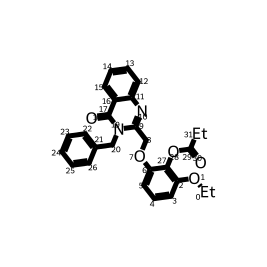 CCOc1cccc(OCc2nc3ccccc3c(=O)n2Cc2ccccc2)c1OC(=O)CC